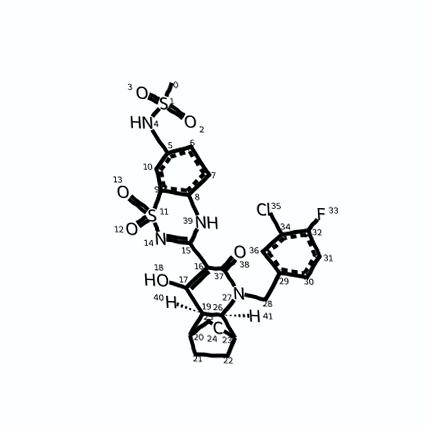 CS(=O)(=O)Nc1ccc2c(c1)S(=O)(=O)N=C(C1=C(O)[C@@H]3C4CCC(CC4)[C@@H]3N(Cc3ccc(F)c(Cl)c3)C1=O)N2